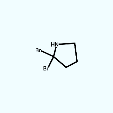 BrC1(Br)CCCN1